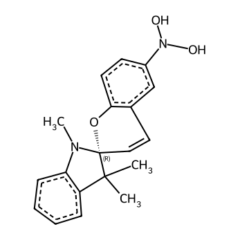 CN1c2ccccc2C(C)(C)[C@]12C=Cc1cc(N(O)O)ccc1O2